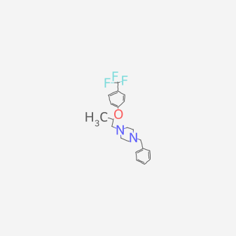 CC(CN1CCN(Cc2ccccc2)CC1)Oc1ccc(C(F)(F)F)cc1